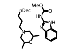 CCCCCCCCCCCCCN1CC(C)OC(C)C1.COC(=O)Nc1nc2ccccc2[nH]1